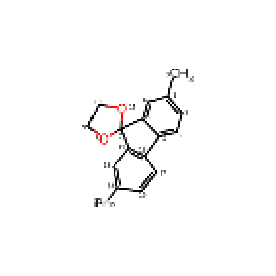 Cc1ccc2c(c1)C1(OCCO1)c1cc(C(C)C)ccc1-2